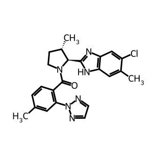 Cc1ccc(C(=O)N2CC[C@H](C)[C@H]2c2nc3cc(Cl)c(C)cc3[nH]2)c(-n2nccn2)c1